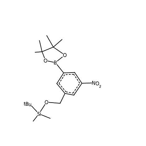 CC1(C)OB(c2cc(CO[Si](C)(C)C(C)(C)C)cc([N+](=O)[O-])c2)OC1(C)C